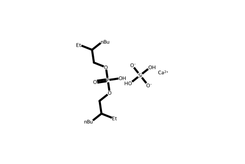 CCCCC(CC)COP(=O)(O)OCC(CC)CCCC.[Ca+2].[O-][Si]([O-])(O)O